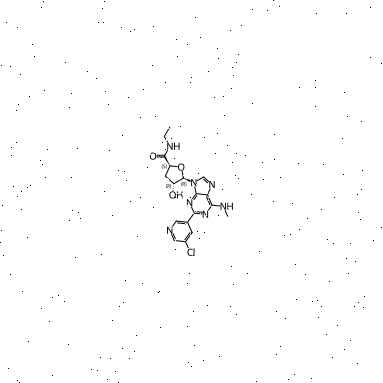 CCNC(=O)[C@@H]1C[C@@H](O)[C@H](n2cnc3c(NC)nc(-c4cncc(Cl)c4)nc32)O1